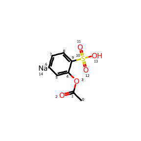 CC(=O)Oc1ccccc1S(=O)(=O)O.[Na]